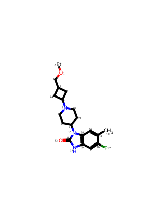 CCOCC1CC(N2CCC(n3c(=O)[nH]c4cc(F)c(C)cc43)CC2)C1